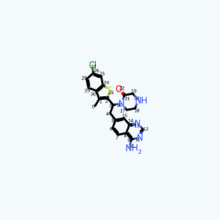 Cc1c(C(Cc2ccc3c(N)ncnc3c2)N2CCNCC2=O)sc2cc(Cl)ccc12